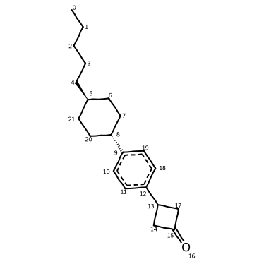 CCCCC[C@H]1CC[C@H](c2ccc(C3CC(=O)C3)cc2)CC1